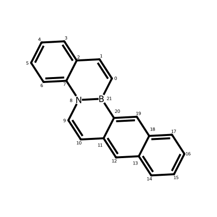 C1=Cc2ccccc2N2C=Cc3cc4ccccc4cc3B12